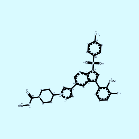 COc1c(F)cccc1-c1cn(S(=O)(=O)c2ccc(C)cc2)c2ncc(-c3cnn(C4CCN(C(=O)OC(C)(C)C)CC4)c3)cc12